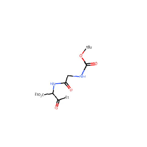 CCOC(=O)C(NC(=O)CNC(=O)OC(C)(C)C)C(=O)CC